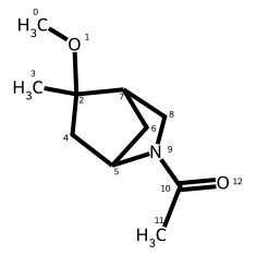 COC1(C)CC2CC1CN2C(C)=O